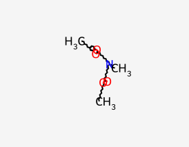 CCCCCCCCCOC(=O)CCCCCCCN(CCC)CCCCCCCC(=O)Oc1ccc(CCCCC)cc1